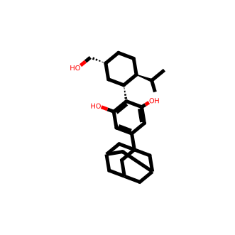 CC(C)[C@@H]1CC[C@@H](CO)C[C@H]1c1c(O)cc(C23CC4CC(CC(C4)C2)C3)cc1O